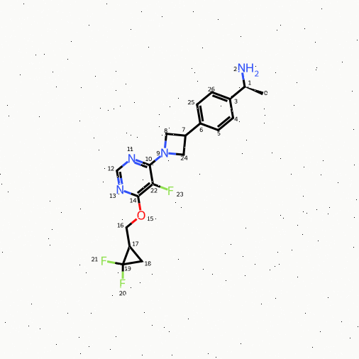 C[C@H](N)c1ccc(C2CN(c3ncnc(OCC4CC4(F)F)c3F)C2)cc1